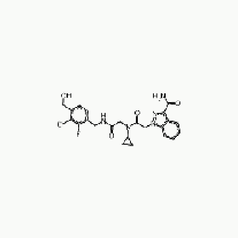 NC(=O)c1nn(CC(=O)N(CC(=O)NCc2ccc(CO)c(Cl)c2F)C2CC2)c2ccccc12